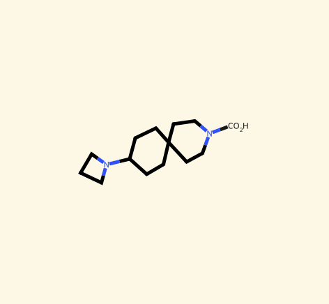 O=C(O)N1CCC2(CCC(N3CCC3)CC2)CC1